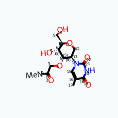 CNC(=O)CO[C@@H]1[C@H](O)[C@@H](CO)OC[C@H]1n1cc(C)c(=O)[nH]c1=O